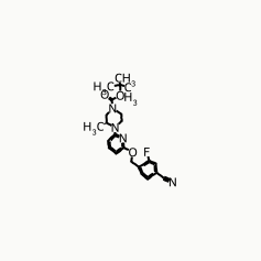 C[C@@H]1CN(C(=O)OC(C)(C)C)CCN1c1cccc(OCc2ccc(C#N)cc2F)n1